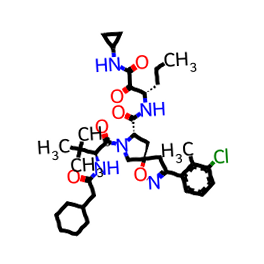 CCC[C@H](NC(=O)[C@@H]1C[C@]2(CC(c3cccc(Cl)c3C)=NO2)CN1C(=O)[C@@H](NC(=O)CC1CCCCC1)C(C)(C)C)C(=O)C(=O)NC1CC1